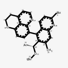 CCC(C)c1ccc2c(-c3ccc4c5c(ccnc35)CCO4)c([C@H](OC(C)(C)C)C(C)=O)c(C)cc2n1